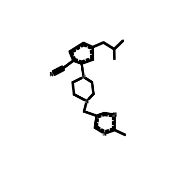 Cc1ncc(CN2CCN(c3cc(CC(C)C)ccc3C#N)CC2)cn1